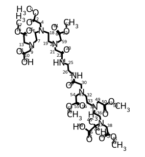 COC(=O)CN(CCN(CC(=O)O)CC(=O)OC)CCN(CC(=O)NCCNC(=O)CN(CCN(CCN(CC(=O)OC)C(C)(C)C(=O)O)CC(=O)OC)CC(=O)OC)CC(=O)OC